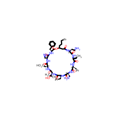 C/C=C1\NC(=O)[C@H](CCN)NC(=O)CC(CCCC(C)C)OC(=O)[C@H](Cc2ccccc2)NC(=O)[C@H](CN)NC(=O)[C@H](CC(=O)O)NC(=O)[C@H](C(C)(C)O)NC(=O)[C@H](CC(C)C)NC(=O)[C@H](CN)NC(=O)[C@H](CC(C)C)NC1=O